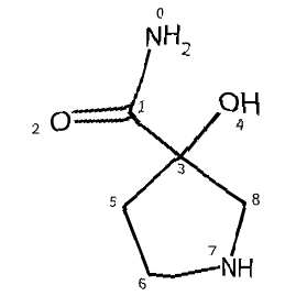 NC(=O)C1(O)CCNC1